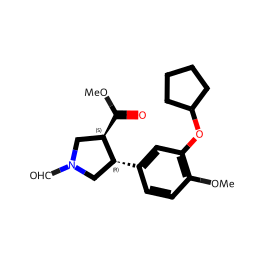 COC(=O)[C@@H]1CN(C=O)C[C@H]1c1ccc(OC)c(OC2CCCC2)c1